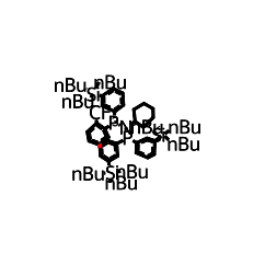 CCCC[Si](CCCC)(CCCC)c1cccc(P(c2cccc([Si](CCCC)(CCCC)CCCC)c2)N(C2CCCCC2)P(c2cccc([Si](CCCC)(CCCC)CCCC)c2)c2ccccc2C(F)(F)F)c1